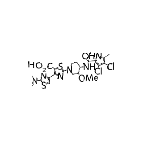 CO[C@H]1CN(c2nc(-c3csc(N(C)C)n3)c(C(=O)O)s2)CC[C@H]1NC(=O)c1[nH]c(C)c(Cl)c1Cl